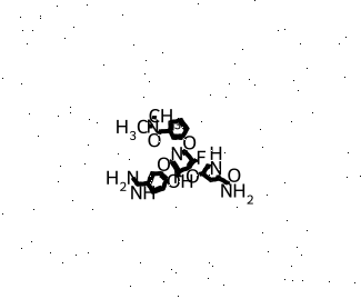 CN(C)C(=O)c1cccc(Oc2nc(Oc3cc(C(=N)N)ccc3O)c(F)c(OC3CNC(C(N)=O)C3)c2F)c1